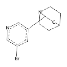 Brc1cncc(C2CC3CCN2CC3)c1